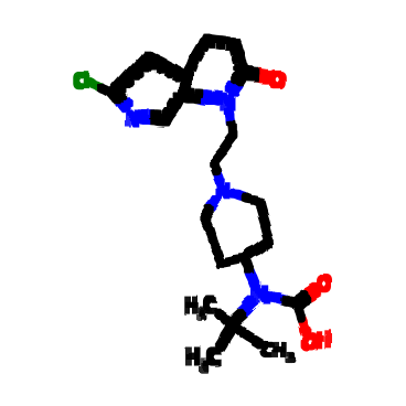 CC(C)(C)N(C(=O)O)C1CCN(CCn2c(=O)ccc3cc(Cl)ncc32)CC1